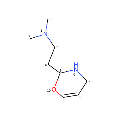 CN(C)CCC1NCC=CO1